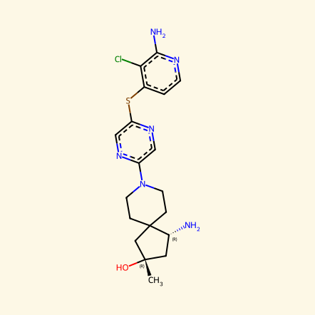 C[C@]1(O)C[C@@H](N)C2(CCN(c3cnc(Sc4ccnc(N)c4Cl)cn3)CC2)C1